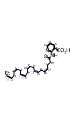 CC/C=C\C/C=C\C/C=C\C/C=C\C/C=C\C/C=C\CCC(=O)Nc1ncccc1C(=O)O